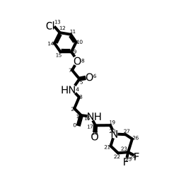 C=C(CCNC(=O)COc1ccc(Cl)cc1)NC(=O)CN1CCC(F)(F)CC1